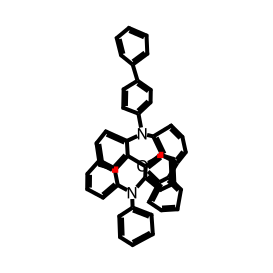 c1ccc(-c2ccc(N(c3ccccc3-c3ccccc3N(c3ccccc3)c3ccccc3)c3cccc4c3oc3ccccc34)cc2)cc1